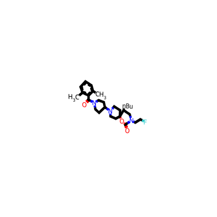 CCCCC1CN(CCF)C(=O)OC12CCN(C1CCN(C(=O)c3c(C)cccc3C)CC1)CC2